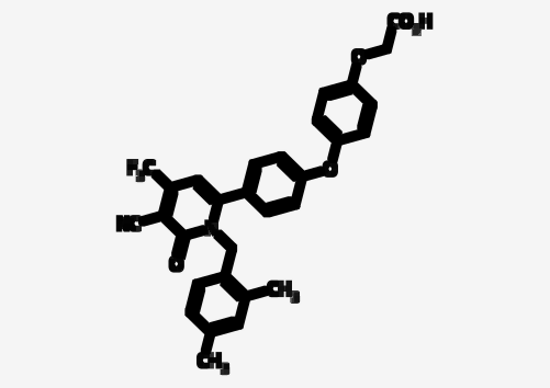 Cc1ccc(Cn2c(-c3ccc(Oc4ccc(OCC(=O)O)cc4)cc3)cc(C(F)(F)F)c(C#N)c2=O)c(C)c1